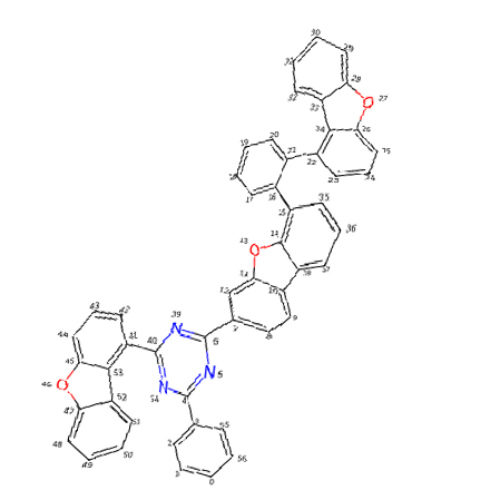 c1ccc(-c2nc(-c3ccc4c(c3)oc3c(-c5ccccc5-c5cccc6oc7ccccc7c56)cccc34)nc(-c3cccc4oc5ccccc5c34)n2)cc1